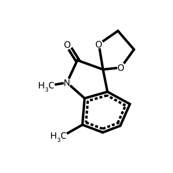 Cc1cccc2c1N(C)C(=O)C21OCCO1